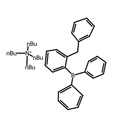 CCCC[N+](CCCC)(CCCC)CCCC.c1ccc(Cc2ccccc2B(c2ccccc2)c2ccccc2)cc1